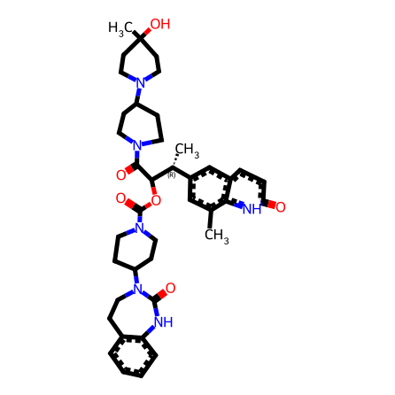 Cc1cc([C@@H](C)C(OC(=O)N2CCC(N3CCc4ccccc4NC3=O)CC2)C(=O)N2CCC(N3CCC(C)(O)CC3)CC2)cc2ccc(=O)[nH]c12